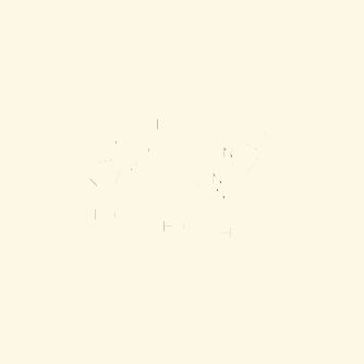 CCc1cccc(OC(C)=O)c1OCCCc1cn(-c2ccc(Cl)cn2)nc1C(C)C